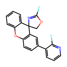 FC1=NC2(CO1)c1ccccc1Oc1ccc(-c3cccnc3F)cc12